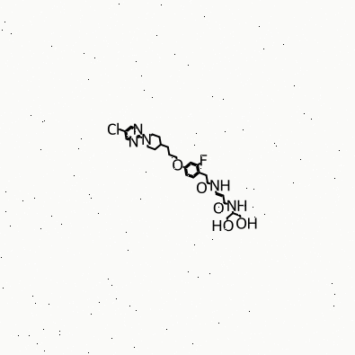 O=C(C=CNC(=O)Cc1ccc(OCCCC2CCN(c3ncc(Cl)cn3)CC2)cc1F)NC(CO)CO